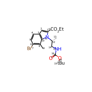 CCOC(=O)c1cc2ccc(Br)c(C)c2n1[C@H](C)CNC(=O)OC(C)(C)C